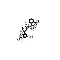 CCC1OC(=O)N(CCC(C)(C)NCC(O)c2cc(O)cc3c2OCC(=O)N3)C2=CCC=CC=C21